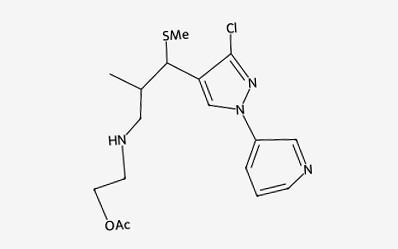 CSC(c1cn(-c2cccnc2)nc1Cl)C(C)CNCCOC(C)=O